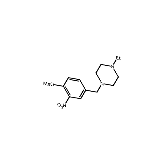 CCN1CCN(Cc2ccc(OC)c([N+](=O)[O-])c2)CC1